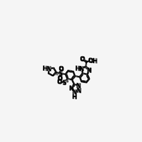 O=[S+]c1c(S(=O)(=O)[C@H]2CCNC2)ccc(-c2cccc3nc(C(=O)O)[nH]c23)c1-c1nn[nH]n1